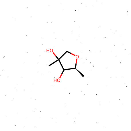 C[C@@H]1OCC(C)(O)C1O